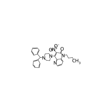 CCCCn1c(=O)c([N+](=O)[O-])c(N2CCN(C(c3ccccc3)c3ccccc3)CC2)c2ncccc21